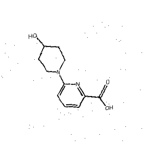 O=C(O)c1cccc(N2CCC(O)CC2)n1